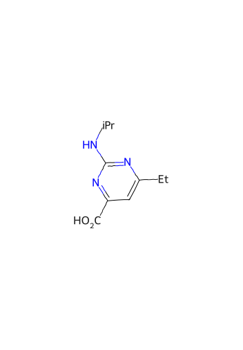 CCc1cc(C(=O)O)nc(NC(C)C)n1